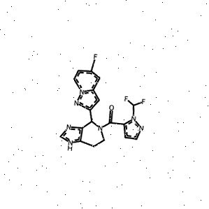 O=C(c1ccnn1C(F)F)N1CCc2[nH]cnc2C1c1cc2cc(F)ccn2n1